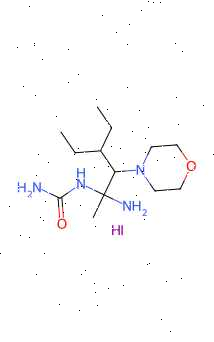 CCC(CC)C(N1CCOCC1)C(C)(N)NC(N)=O.I